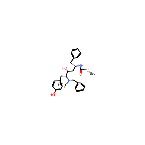 CC(C)(C)OC(=O)N[C@@H](Cc1ccccc1)C[C@H](O)[C@H](Cc1ccc(O)cc1)N(Cc1ccccc1)C(=O)O